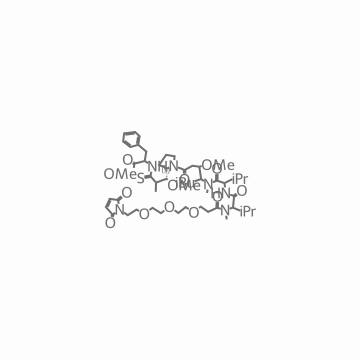 CCC(C)C(C(CC(=O)N1CCC[C@H]1C(OC)C(C)C(=S)NC(Cc1ccccc1)C(=O)OC)OC)N(C)C(=O)C(NC(=O)C(C(C)C)N(C)C(=O)CCOCCOCCOCCN1C(=O)C=CC1=O)C(C)C